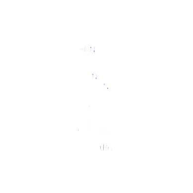 CC(C)(C)OC(=O)CCn1ccc(N)n1